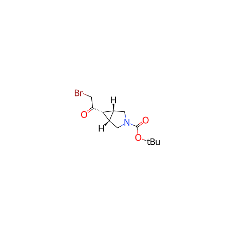 CC(C)(C)OC(=O)N1C[C@@H]2[C@H](C1)[C@@H]2C(=O)CBr